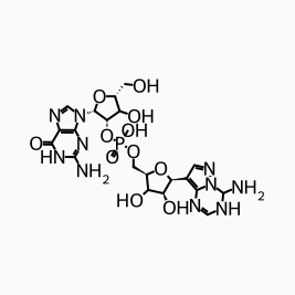 Nc1nc2c(ncn2[C@@H]2O[C@H](CO)C(O)[C@@H]2OP(=O)(O)OC[C@H]2O[C@@H](c3cnn4c3N=CNC4N)[C@@H](O)C2O)c(=O)[nH]1